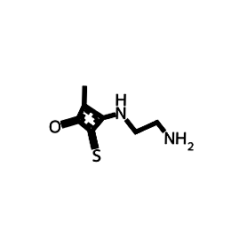 Cc1c(NCCN)c(=S)c1=O